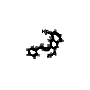 CCOc1cc2nccc(C)c2cc1OCc1ccccc1